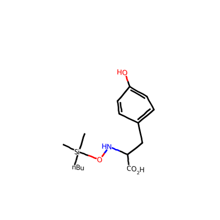 CCCC[Si](C)(C)ONC(Cc1ccc(O)cc1)C(=O)O